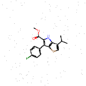 COC(=O)c1[nH]c2c(C(C)C)csc2c1-c1ccc(F)cc1